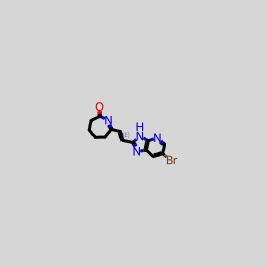 O=C1CCCCC(/C=C/c2nc3cc(Br)cnc3[nH]2)=N1